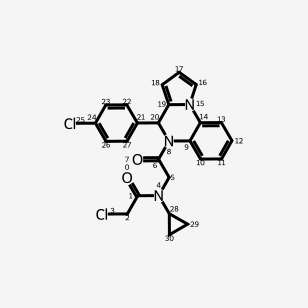 O=C(CCl)N(CC(=O)N1c2ccccc2-n2cccc2C1c1ccc(Cl)cc1)C1CC1